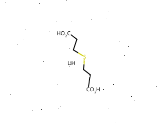 O=C(O)CCSCCC(=O)O.[LiH]